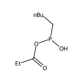 CCCCCP(O)OC(=O)CC